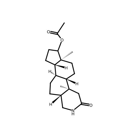 CC(=O)OC1CC[C@H]2[C@@H]3CC[C@H]4CNC(=O)C[C@]4(C)[C@H]3CC[C@]12C